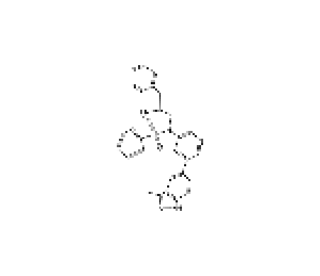 Cc1n[nH]c2ccc(-c3cncc(N(CC(N)Cc4ccccc4)S(=O)(=O)c4ccccc4)c3)cc12